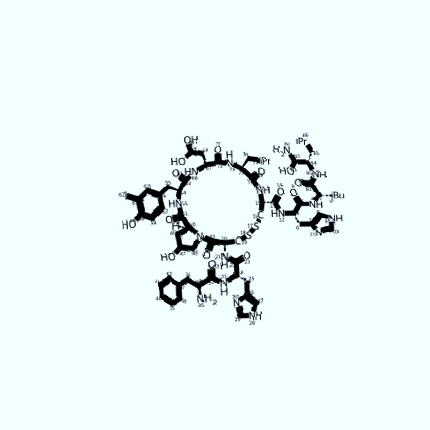 CCC(C)[C@H](NC(=O)[C@H](Cc1c[nH]cn1)NC(=O)[C@@H]1CSSC[C@H](NC(=O)[C@H](Cc2c[nH]cn2)NC(=O)[C@@H](N)Cc2ccccc2)C(=O)N2CC(O)C[C@H]2C(=O)N[C@@H](Cc2ccc(O)c(I)c2)C(=O)N[C@@H](CC(O)O)C(=O)N[C@@H](CC(C)C)C(=O)N1)C(=O)N[C@@H](CC(C)C)C(N)O